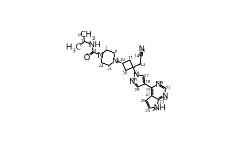 CC(C)NC(=O)N1CCN([C@H]2C[C@](CC#N)(n3cc(-c4ncnc5[nH]ccc45)cn3)C2)CC1